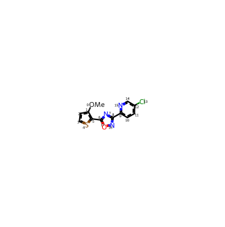 COc1ccsc1-c1nc(-c2ccc(Cl)cn2)no1